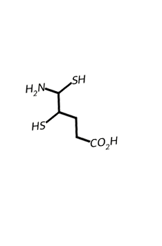 NC(S)C(S)CCC(=O)O